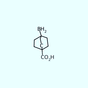 BC12CCC(C(=O)O)(CC1)CC2